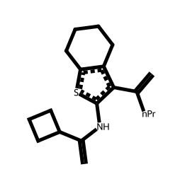 C=C(CCC)c1c(NC(=C)C2CCC2)sc2c1CCCC2